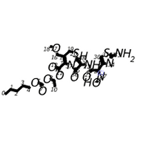 CCCCCOC(=O)OC(C)OC(=O)C1=C(COC)CS[C@@H]2C(NC(=O)/C(=N\O)c3csc(N)n3)C(=O)N12